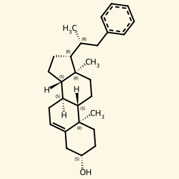 C[C@H](Cc1ccccc1)[C@H]1CC[C@H]2[C@@H]3CC=C4C[C@@H](O)CC[C@]4(C)[C@H]3CC[C@]12C